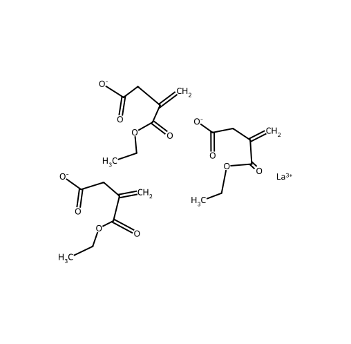 C=C(CC(=O)[O-])C(=O)OCC.C=C(CC(=O)[O-])C(=O)OCC.C=C(CC(=O)[O-])C(=O)OCC.[La+3]